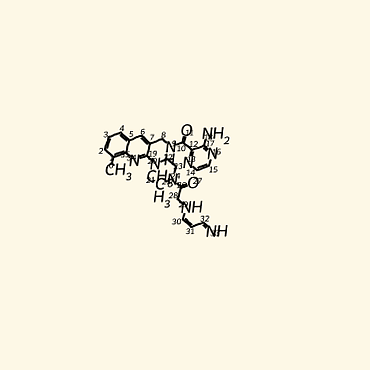 Cc1cccc2cc(CNC(=O)c3nccnc3N)c(N(C)CCN(C)C(=O)CN/C=C\C=N)nc12